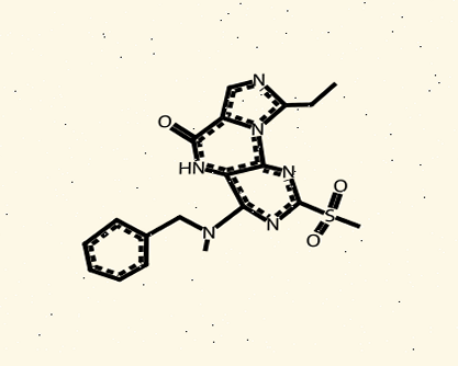 CCc1ncc2c(=O)[nH]c3c(N(C)Cc4ccccc4)nc(S(C)(=O)=O)nc3n12